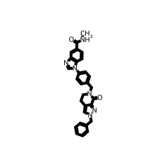 CNC(=O)c1ccc2c(c1)ncn2-c1ccc(CN2CCc3cn(Cc4ccccc4)nc3C2=O)cc1